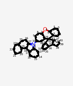 c1ccc2c(c1)Oc1ccc(-n3c4ccccc4c4c5ccccc5ccc43)cc1C21c2ccccc2-c2ccccc21